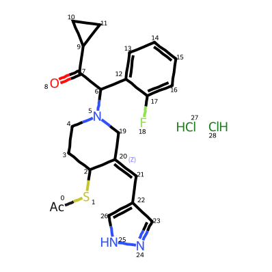 CC(=O)SC1CCN(C(C(=O)C2CC2)c2ccccc2F)C/C1=C/c1cn[nH]c1.Cl.Cl